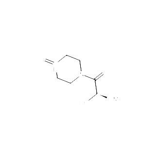 CO[C@@H](C)C(=O)N1CC[PH](=O)CC1